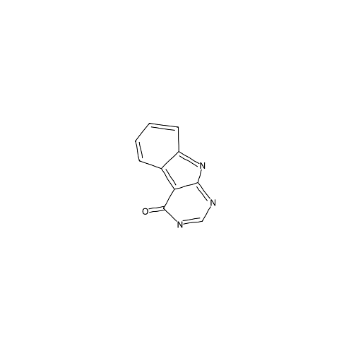 O=C1N=CN=C2N=c3ccccc3=C12